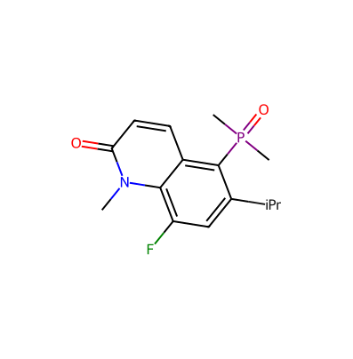 CC(C)c1cc(F)c2c(ccc(=O)n2C)c1P(C)(C)=O